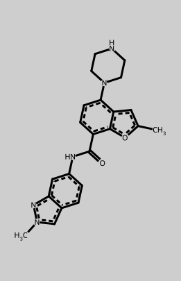 Cc1cc2c(N3CCNCC3)ccc(C(=O)Nc3ccc4cn(C)nc4c3)c2o1